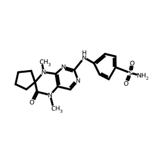 CN1C(=O)C2(CCCC2)N(C)c2nc(Nc3ccc(S(N)(=O)=O)cc3)ncc21